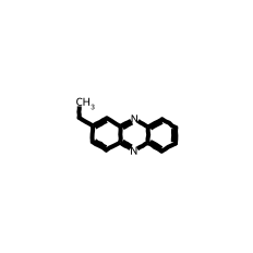 CCc1ccc2nc3ccccc3nc2c1